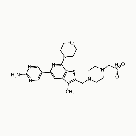 Cc1c(CN2CCN(C[SH](=O)=O)CC2)sc2c(N3CCOCC3)nc(-c3cnc(N)nc3)cc12